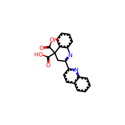 O=C(O)C1(C(=O)O)CC(c2ccc3ccccc3n2)=Nc2ccccc21